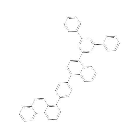 c1ccc(-c2nc(-c3ccccc3)nc(-c3ccc(-c4ccc(-c5cccc6c5ccc5cccnc56)cc4)c4ccccc34)n2)cc1